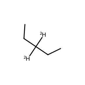 [2H]C([2H])(CC)CC